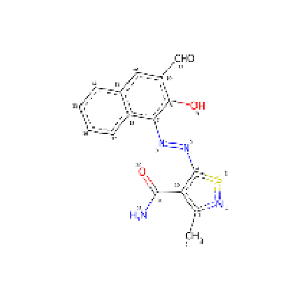 Cc1nsc(/N=N/c2c(O)c(C=O)cc3ccccc23)c1C(N)=O